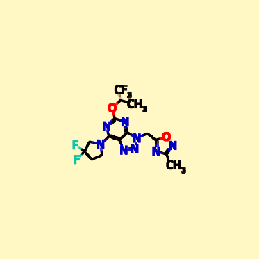 Cc1noc(Cn2nnc3c(N4CCC(F)(F)C4)nc(O[C@@H](C)C(F)(F)F)nc32)n1